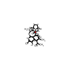 Cc1nc2c3c(nc(Cl)c(F)c3c1C(C)O)O[C@@H](C)[C@@H]1[C@@H]3CC[C@H](CN21)N3C(=O)OC(C)(C)C